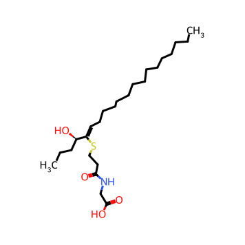 CCCCCCCCCCCCCCC=C(SCCC(=O)NCC(=O)O)[C@H](O)CCC